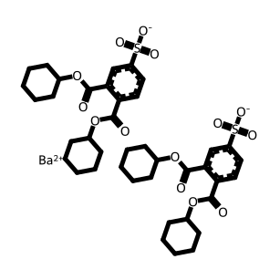 O=C(OC1CCCCC1)c1ccc(S(=O)(=O)[O-])cc1C(=O)OC1CCCCC1.O=C(OC1CCCCC1)c1ccc(S(=O)(=O)[O-])cc1C(=O)OC1CCCCC1.[Ba+2]